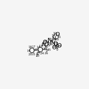 CS(=O)(=O)ONC(=Nc1cc(C2(c3ccc(-c4ccccc4)c(F)c3)CC2)no1)N1CCOCC1